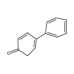 O=C1C=[C]C(c2ccccc2)=CC1